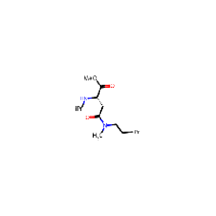 COC(=O)[C@H](CC(=O)N(C)CCC(C)C)NC(C)C